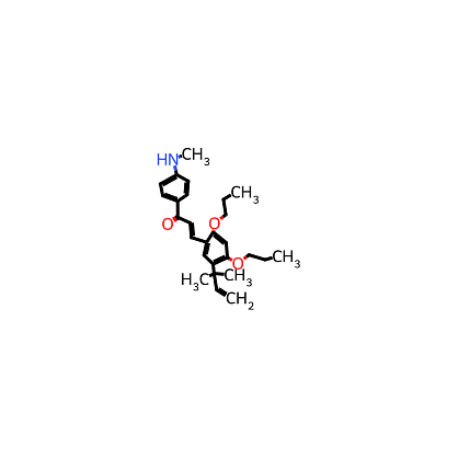 C=CC(C)(C)c1cc(C=CC(=O)c2ccc(NC)cc2)c(OCCC)cc1OCCC